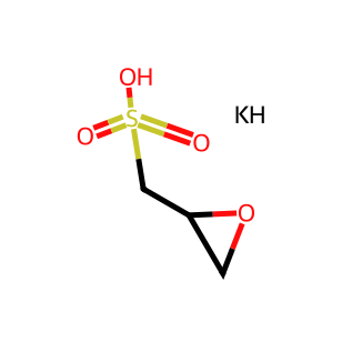 O=S(=O)(O)CC1CO1.[KH]